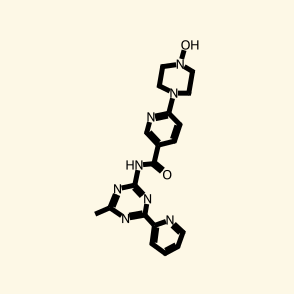 Cc1nc(NC(=O)c2ccc(N3CCN(O)CC3)nc2)nc(-c2ccccn2)n1